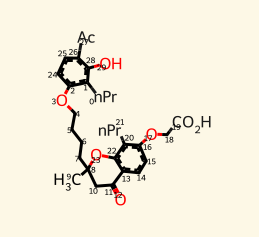 CCCc1c(OCCCCC2(C)CC(=O)c3ccc(OCC(=O)O)c(CCC)c3O2)ccc(C(C)=O)c1O